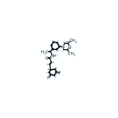 CC1CN(c2cccc(C(C)NC(=O)C=Cc3cc(F)cc(F)c3)c2)CC(C)O1